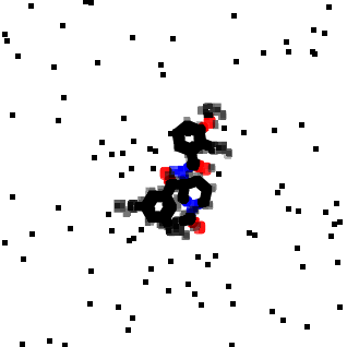 COc1cccc(C(=O)NC2(C(=O)c3cc(C)cc(C)c3)CCCN(C(C)=O)C2)c1C